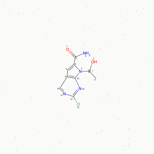 CB(O)n1c(C(N)=O)cc2cnc(Cl)nc21